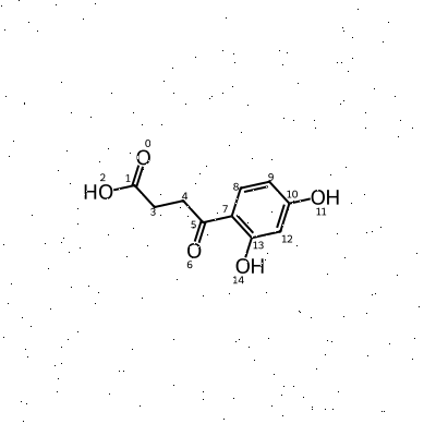 O=C(O)CCC(=O)c1ccc(O)cc1O